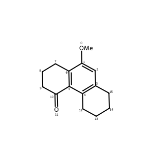 COc1cc2c(c3c1CCCC3=O)CCCC2